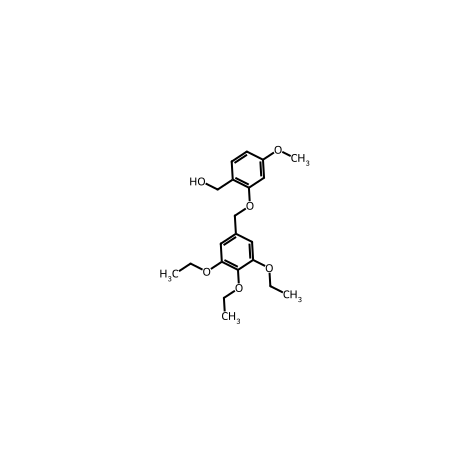 CCOc1cc(COc2cc(OC)ccc2CO)cc(OCC)c1OCC